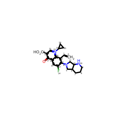 C=Cc1c(N2CC3CCCNC3C2)c(F)cc2c(=O)c(C(=O)O)cn(C3CC3)c12